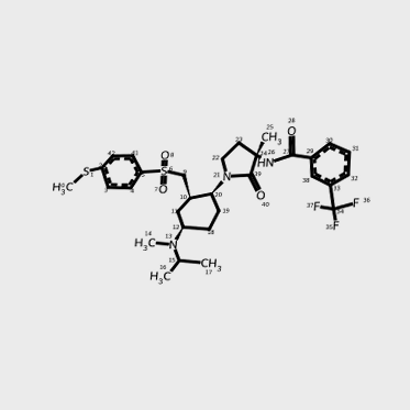 CSc1ccc(S(=O)(=O)C[C@@H]2C[C@H](N(C)C(C)C)CC[C@@H]2N2CC[C@](C)(NC(=O)c3cccc(C(F)(F)F)c3)C2=O)cc1